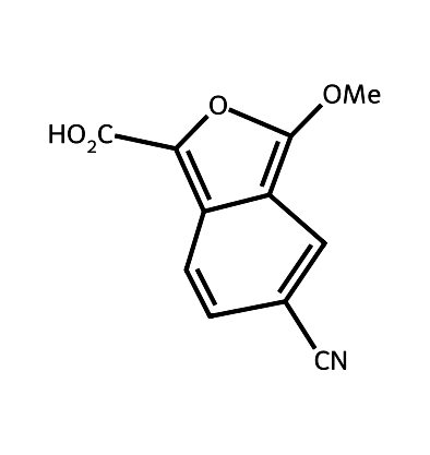 COc1oc(C(=O)O)c2ccc(C#N)cc12